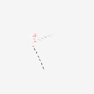 CC#CC#CC#CC#CC#CC#CC(=O)OC[C@@H](COP(=O)(O)O)OC(=O)CCCCCCCCC